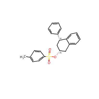 Cc1ccc(S(=O)(=O)O[C@H]2Cc3ccccc3[C@@H](c3ccccc3)C2)cc1